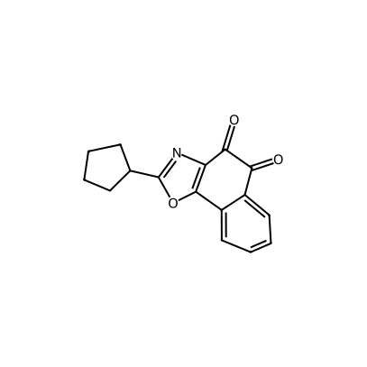 O=C1C(=O)c2nc(C3CCCC3)oc2-c2ccccc21